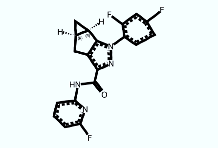 O=C(Nc1cccc(F)n1)c1nn(-c2ccc(F)cc2F)c2c1C[C@H]1C[C@@H]21